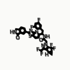 O=C(Cn1nc(C(F)F)c2c1C(F)(F)C1C[C@H]21)NC(Cc1cc(F)cc(F)c1)c1ccc2sc(-c3ccc4c(c3)C(=O)NC4)nc2n1